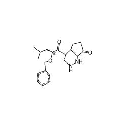 CC(C)C[C@H](OCc1ccccc1)C(=O)C1CNNC2C(=O)CCC12